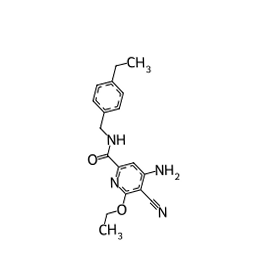 CCOc1nc(C(=O)NCc2ccc(CC)cc2)cc(N)c1C#N